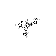 COc1cccc2[nH]c(C(=O)NC(CC(C)C)C(=O)NC(C[C@@H]3CCNC3=O)C(=O)COc3c(F)c(F)cc(F)c3F)cc12